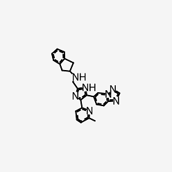 Cc1cccc(-c2nc(CNC3Cc4ccccc4C3)[nH]c2-c2ccc3ncnn3c2)n1